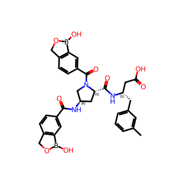 Cc1cccc(C[C@@H](CC(=O)O)NC(=O)[C@@H]2C[C@@H](NC(=O)c3ccc4c(c3)B(O)OC4)CN2C(=O)c2ccc3c(c2)B(O)OC3)c1